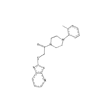 Cc1ccccc1N1CCN(C(=O)CSc2nc3cccnc3s2)CC1